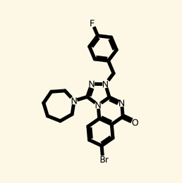 O=c1nc2n(Cc3ccc(F)cc3)nc(N3CCCCCC3)n2c2ccc(Br)cc12